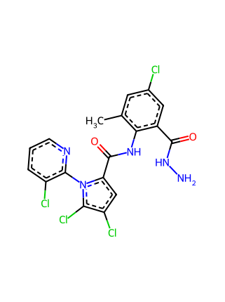 Cc1cc(Cl)cc(C(=O)NN)c1NC(=O)c1cc(Cl)c(Cl)n1-c1ncccc1Cl